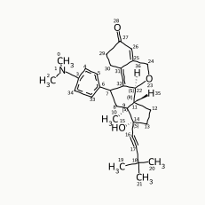 CN(C)c1ccc(C2C[C@@]3(C)[C@@H](CC[C@@]3(O)C#CC(C)(C)C)[C@@H]3OCC4=CC(=O)CCC4=C23)cc1